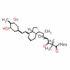 C=C1[C@H](O)CC(=C/C=C2\CCC[C@]3(C)[C@@H]([C@H](C)/C=C/C(=O)C(C)(C)C(=O)CCCCCC)CC[C@@H]23)C[C@H]1O